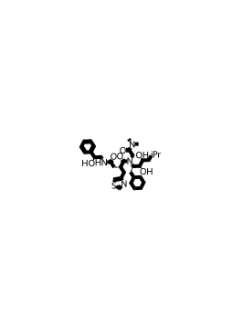 CC(C)C[C@H](O)[C@H](O)[C@H](CC1CCCCC1)N(CC(=O)N(C)C)C(=O)[C@@H](CC(=O)NC[C@H](O)c1ccccc1)Cc1cscn1